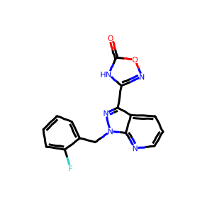 O=c1[nH]c(-c2nn(Cc3ccccc3F)c3ncccc23)no1